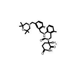 BC1(N(C=O)Cc2c(C)cccc2NCc2cc(CN3CC(C)(C)OC(C)(C)C3)ccc2F)CCC(=O)NC1=O